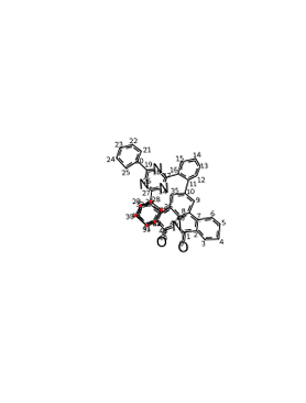 O=c1c2ccccc2c2cc(-c3ccccc3-c3nc(-c4ccccc4)nc(-c4ccccc4)n3)cc3c4ccccc4c(=O)n1c23